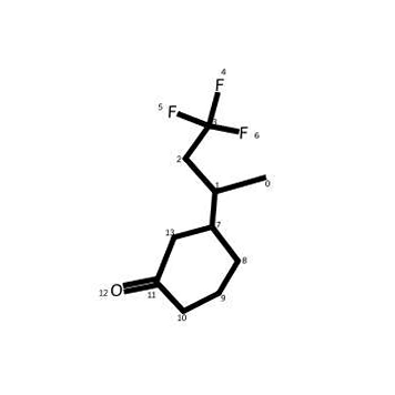 CC(CC(F)(F)F)C1CCCC(=O)C1